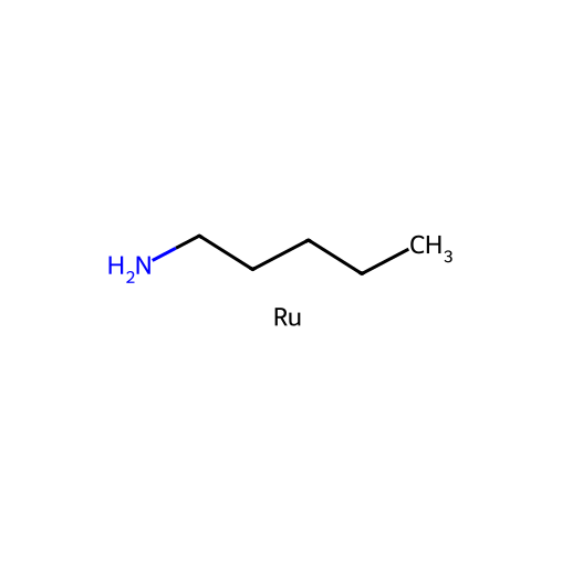 CCCCCN.[Ru]